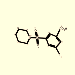 O=C(O)c1cc(I)cc(S(=O)(=O)N2CCCCC2)c1